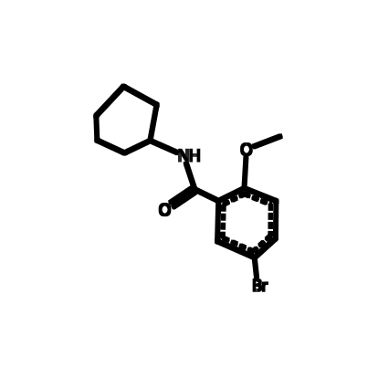 COc1ccc(Br)cc1C(=O)NC1CCCCC1